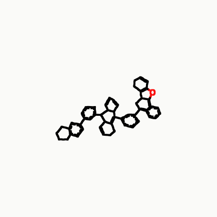 C1=CC2C(c3cccc(C4=c5ccccc5=C5OC6=C(CCC=C6)C5C4)c3)=C3CCC=CC3C(c3cccc(-c4ccc5c(c4)CCCC5)c3)C2C=C1